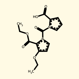 CCOC(=O)c1c(OCC)ccn1C(=O)n1cccc1C(=O)O